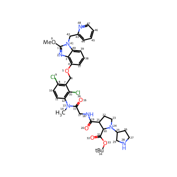 COc1nc2c(OCc3c(Cl)ccc(N(C)C(=O)CNC(=O)C4CCN(C5CCNC5)C4C(=O)OC(C)(C)C)c3Cl)cccc2n1Cc1ccccn1